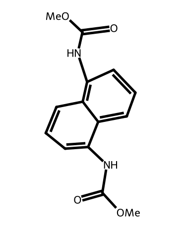 COC(=O)Nc1cccc2c(NC(=O)OC)cccc12